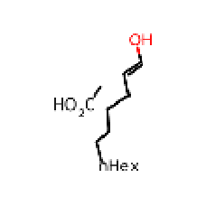 CC(=O)O.CCCCCCCCCCC=CO